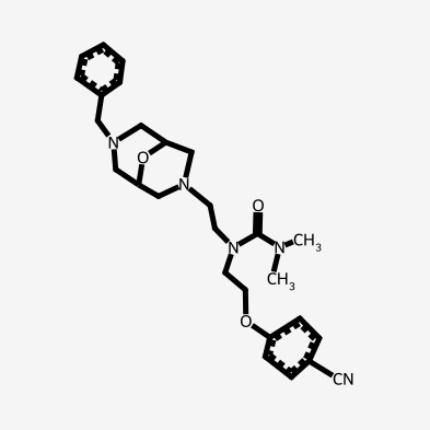 CN(C)C(=O)N(CCOc1ccc(C#N)cc1)CCN1CC2CN(Cc3ccccc3)CC(C1)O2